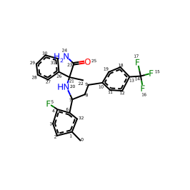 Cc1ccc(F)c(C(CCc2ccc(C(F)(F)F)cc2)NC(C)(C(N)=O)c2ccccc2)c1